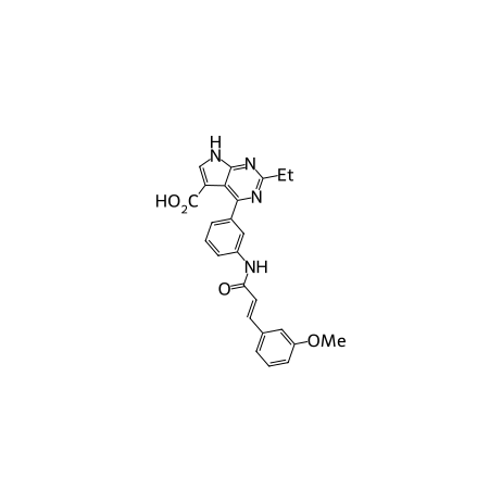 CCc1nc(-c2cccc(NC(=O)/C=C/c3cccc(OC)c3)c2)c2c(C(=O)O)c[nH]c2n1